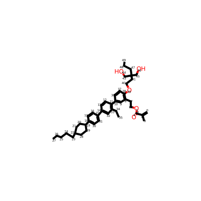 C=C(C)C(=O)OCCc1cc(-c2ccc(-c3ccc(C4CCC(CCCCC)CC4)cc3)cc2CC)ccc1OCCC(CO)(CO)CCC